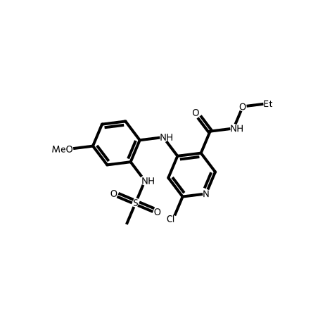 CCONC(=O)c1cnc(Cl)cc1Nc1ccc(OC)cc1NS(C)(=O)=O